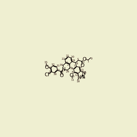 CCOC(=O)CC(c1cc(OC)c2c(c1)nnn2C)c1cccc2c1CCN(C(=O)c1ccc(OC)c(Cl)c1)C2